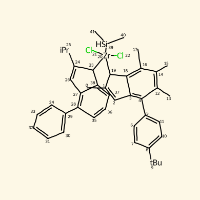 CC1=Cc2c(-c3ccc(C(C)(C)C)cc3)c(C)c(C)c(C)c2[CH]1[Zr]([Cl])([Cl])([CH]1C(C(C)C)=Cc2c(-c3ccccc3)cccc21)[SiH](C)C